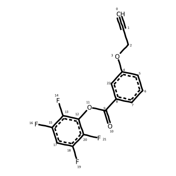 C#CCOc1cccc(C(=O)Oc2c(F)c(F)cc(F)c2F)c1